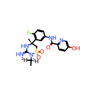 [2H]C([2H])(C)N1C(=N)N[C@](C)(c2cc(NC(=O)c3ccc(O)cn3)ccc2F)CS1(=O)=O